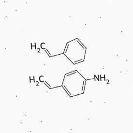 C=Cc1ccc(N)cc1.C=Cc1ccccc1